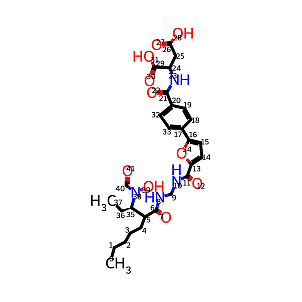 CCCCCC(C(=O)NCNC(=O)c1ccc(-c2ccc(C(=O)NC(CC(=O)O)C(=O)O)cc2)o1)[C@@H](CC)N(O)C=O